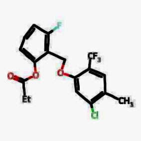 CCC(=O)Oc1cccc(F)c1COc1cc(Cl)c(C)cc1C(F)(F)F